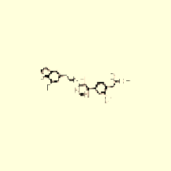 COc1cc(-c2cc(NCCc3cc(F)c4sccc4c3)ncn2)ccc1CC(=O)O